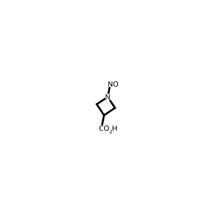 O=NN1CC(C(=O)O)C1